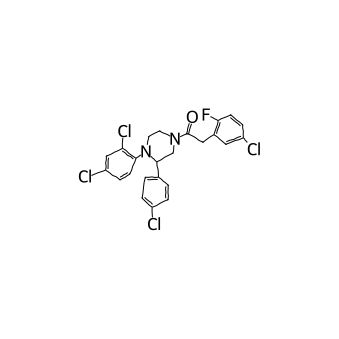 O=C(Cc1cc(Cl)ccc1F)N1CCN(c2ccc(Cl)cc2Cl)C(c2ccc(Cl)cc2)C1